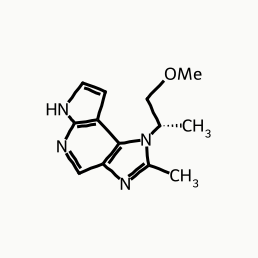 COC[C@H](C)n1c(C)nc2cnc3[nH]ccc3c21